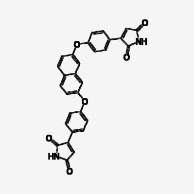 O=C1C=C(c2ccc(Oc3ccc4ccc(Oc5ccc(C6=CC(=O)NC6=O)cc5)cc4c3)cc2)C(=O)N1